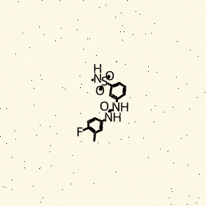 CNS(=O)(=O)c1cccc(NC(=O)Nc2ccc(F)c(C)c2)c1